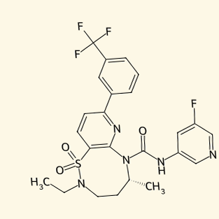 CCN1CC[C@@H](C)N(C(=O)Nc2cncc(F)c2)c2nc(-c3cccc(C(F)(F)F)c3)ccc2S1(=O)=O